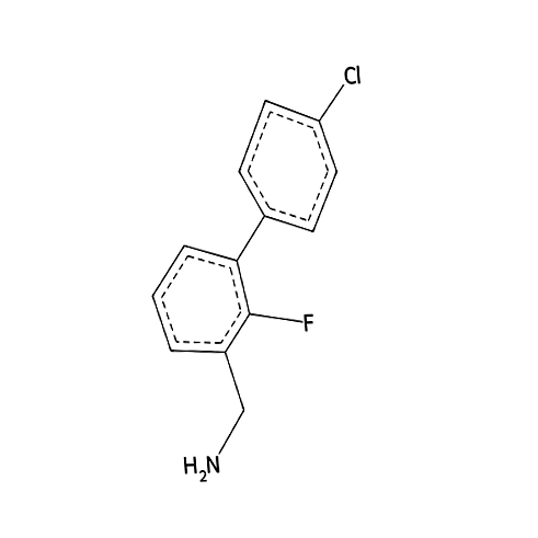 NCc1cccc(-c2ccc(Cl)cc2)c1F